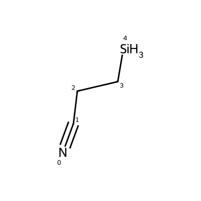 N#CCC[SiH3]